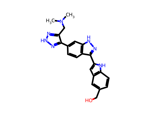 CN(C)Cc1n[nH]nc1-c1ccc2c(-c3cc4cc(CO)ccc4[nH]3)n[nH]c2c1